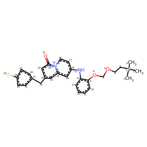 C[Si](C)(C)CCOCOc1ccccc1Nc1ccn2c(=O)cc(Cc3ccc(F)cc3)cc2c1